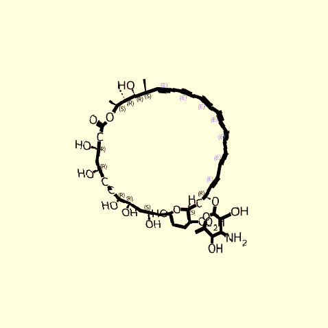 CC1OC(O[C@H]2/C=C/C=C/C=C/C=C/C=C/C=C/C=C/[C@H](C)[C@@H](O)[C@@H](C)[C@H](C)OC(=O)C[C@H](O)C[C@H](O)CC[C@@H](O)[C@H](O)C[C@H](O)C[C@]3(O)CCC(C(=O)O)[C@H](C2)O3)C(O)C(N)C1O